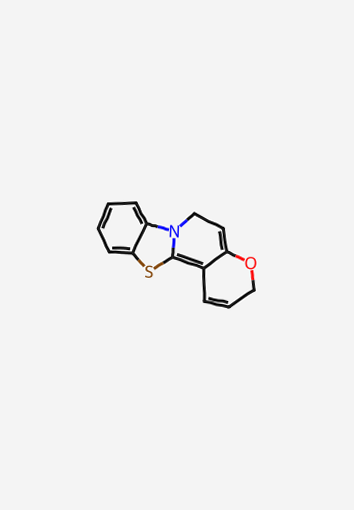 C1=CC2=C3Sc4ccccc4N3CC=C2OC1